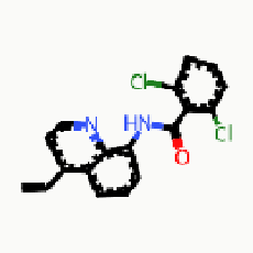 C=Cc1ccnc2c(NC(=O)c3c(Cl)cccc3Cl)cccc12